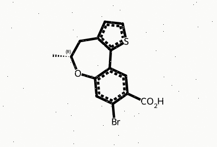 C[C@@H]1Cc2ccsc2-c2cc(C(=O)O)c(Br)cc2O1